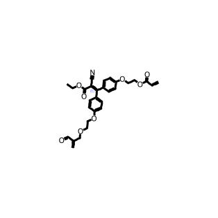 C=CC(=O)OCCOc1ccc(/C(=C(\C#N)C(=O)OCC)c2ccc(OCCOCC(=C)C=O)cc2)cc1